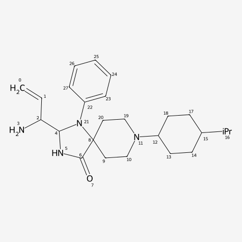 C=CC(N)C1NC(=O)C2(CCN(C3CCC(C(C)C)CC3)CC2)N1c1ccccc1